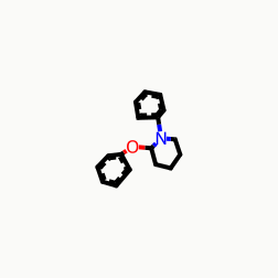 c1ccc(OC2CCCCN2c2ccccc2)cc1